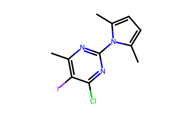 Cc1nc(-n2c(C)ccc2C)nc(Cl)c1I